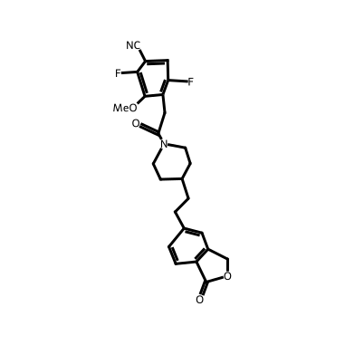 COc1c(F)c(C#N)cc(F)c1CC(=O)N1CCC(CCc2ccc3c(c2)COC3=O)CC1